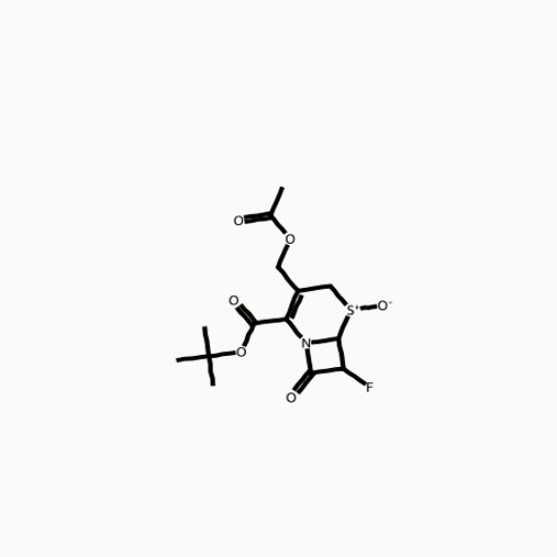 CC(=O)OCC1=C(C(=O)OC(C)(C)C)N2C(=O)C(F)C2[S+]([O-])C1